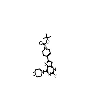 CC(C)(C)OC(=O)N1CC=C(c2cc3nc(Cl)nc(N4CCOCC4)c3s2)CC1